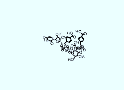 CC(=O)N[C@H]1[C@@H](OP(=O)(O)OP(=O)(OCc2ccc(C(=O)O)cc2)OC[C@@H]2O[C@H](n3ccc(=O)[nH]c3=O)[C@@H](O)[C@H]2O)O[C@H](CO)[C@@H](O)[C@@H]1OP(=O)(O)OCc1ccc(C(=O)O)cc1